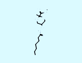 CCCCCCC(=O)NOC1COC(C)(C(=O)OC)OC1